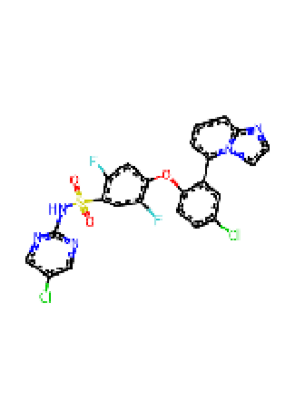 O=S(=O)(Nc1ncc(Cl)cn1)c1cc(F)c(Oc2ccc(Cl)cc2-c2cccc3nccn23)cc1F